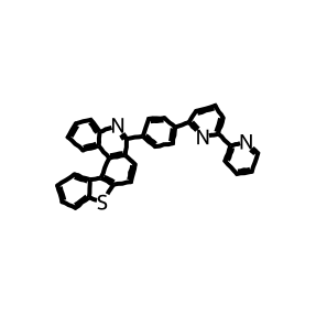 c1ccc(-c2cccc(-c3ccc(-c4nc5ccccc5c5c4ccc4sc6ccccc6c45)cc3)n2)nc1